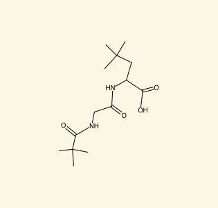 CC(C)(C)CC(NC(=O)CNC(=O)C(C)(C)C)C(=O)O